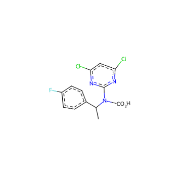 CC(c1ccc(F)cc1)N(C(=O)O)c1nc(Cl)cc(Cl)n1